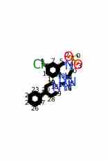 CS(=O)(=O)N1Cc2cc(Cl)ccc2-n2c(nnc2N2CCC(c3ccccc3)CC2)C1